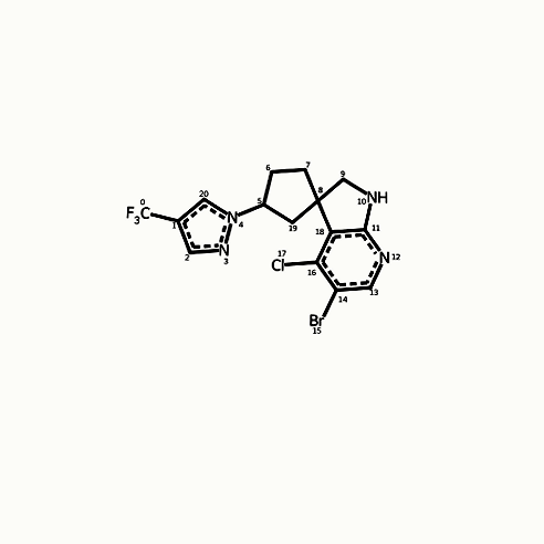 FC(F)(F)c1cnn(C2CCC3(CNc4ncc(Br)c(Cl)c43)C2)c1